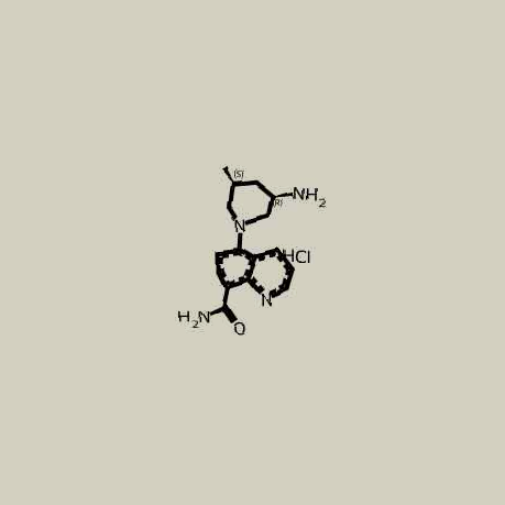 C[C@H]1C[C@@H](N)CN(c2ccc(C(N)=O)c3ncccc23)C1.Cl